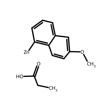 CCC(=O)O.COc1ccc2[c]([Zn])cccc2c1